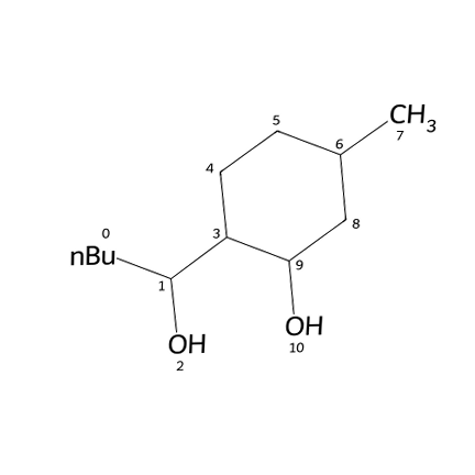 CCCCC(O)C1CCC(C)CC1O